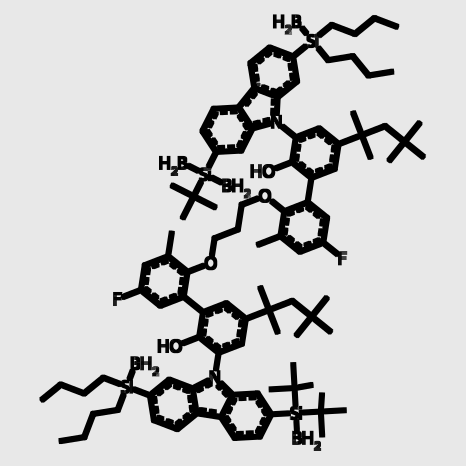 B[Si](CCCC)(CCCC)c1ccc2c3ccc([Si](B)(B)C(C)(C)C)cc3n(-c3cc(C(C)(C)CC(C)(C)C)cc(-c4cc(F)cc(C)c4OCCCOc4c(C)cc(F)cc4-c4cc(C(C)(C)CC(C)(C)C)cc(-n5c6cc([Si](B)(CCCC)CCCC)ccc6c6ccc([Si](B)(C(C)(C)C)C(C)(C)C)cc65)c4O)c3O)c2c1